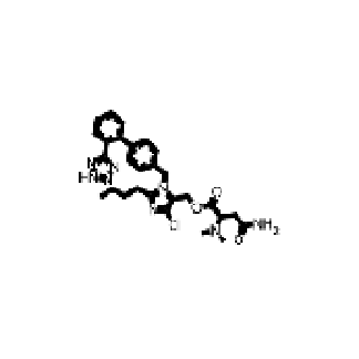 CCCCc1nc(Cl)c(COC(=O)C(CC(N)=O)N(C)C)n1Cc1ccc(-c2ccccc2-c2nn[nH]n2)cc1